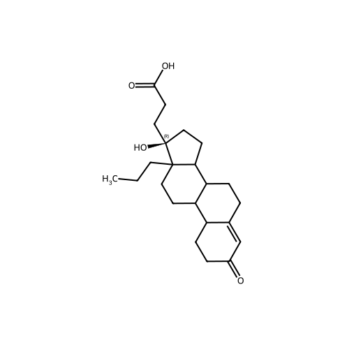 CCCC12CCC3C4CCC(=O)C=C4CCC3C1CC[C@@]2(O)CCC(=O)O